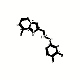 Cc1ccc(SNCc2cn3cccc(C)c3n2)cc1C